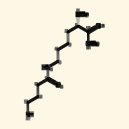 CN[C@@H](CCCCNC(=O)CCCS)C(=O)OC